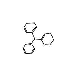 C1=CC(C(c2ccccc2)c2ccccc2)=CCC1